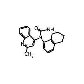 Cc1cc(N(C(N)=O)c2cccc3c2CCCC3)c2ccccc2n1